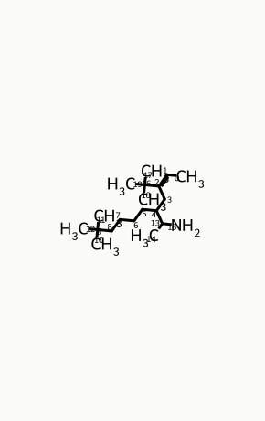 C/C=C(\CC(CCCCC(C)(C)C)C(C)N)C(C)(C)C